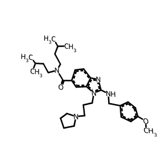 COc1ccc(CNc2nc3ccc(C(=O)N(CCC(C)C)CCC(C)C)cc3n2CCCN2CCCC2)cc1